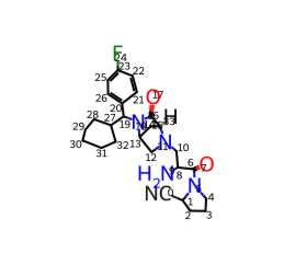 N#CC1CCCN1C(=O)C(N)CN1CC2C[C@H]1C(=O)N2C(c1ccc(F)cc1)C1CCCCC1